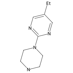 CCc1cnc(N2CC[N]CC2)nc1